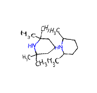 CC1(C)CCCC(C)(C)N1.CC1CCCC(C)N1